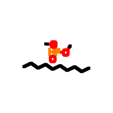 CCCCCCCCCC.CO[PH](=O)OC